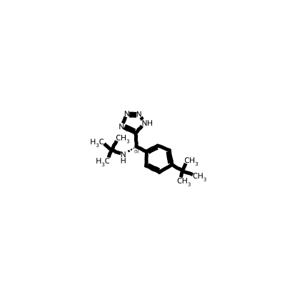 CC(C)(C)N[C@@H](c1ccc(C(C)(C)C)cc1)c1nnn[nH]1